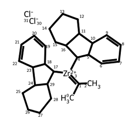 C[C](C)=[Zr+2]([CH]1C2C=CC=CC2C2CCCCC21)[CH]1C2C=CC=CC2C2CCCCC21.[Cl-].[Cl-]